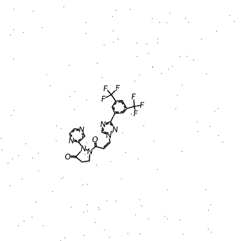 O=C(/C=C\n1cnc(-c2cc(C(F)(F)F)cc(C(F)(F)F)c2)n1)N1CCC(=O)N1c1cnccn1